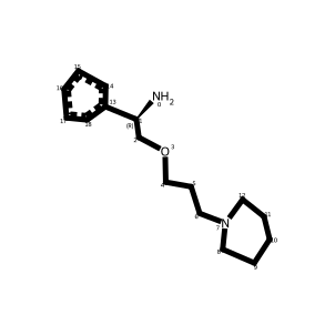 N[C@@H](COCCCN1CCCCC1)c1ccccc1